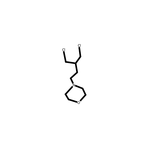 ClCC(CCl)CCN1CCOCC1